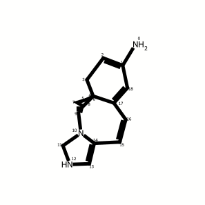 NC1=CCC23CCCC=C2N2CNC=C2C=CC3=C1